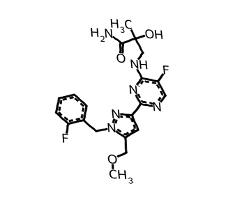 COCc1cc(-c2ncc(F)c(NCC(C)(O)C(N)=O)n2)nn1Cc1ccccc1F